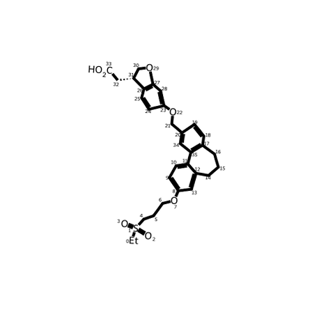 CCS(=O)(=O)CCCOc1ccc2c(c1)CCCc1ccc(COc3ccc4c(c3)OC[C@H]4CC(=O)O)cc1-2